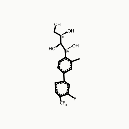 Cc1cc(-c2ccc(C(F)(F)F)c(F)c2)ccc1[C@@H](O)C(O)[C@H](O)CO